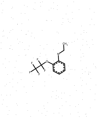 CC[N]c1ccccc1OC(F)(F)C(F)(F)F